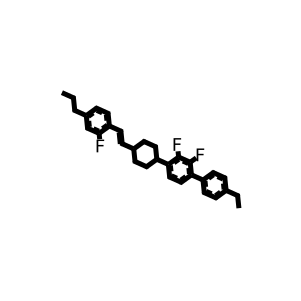 CCCc1ccc(/C=C/C2CCC(c3ccc(-c4ccc(CC)cc4)c(F)c3F)CC2)c(F)c1